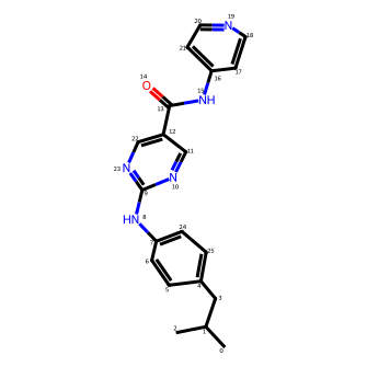 CC(C)Cc1ccc(Nc2ncc(C(=O)Nc3ccncc3)cn2)cc1